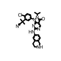 CC(C)n1c(=O)c2cnc(Nc3ccc4c(c3)CCNC4)nc2n1-c1ccc(Cl)c(C(C)(C)C#N)c1